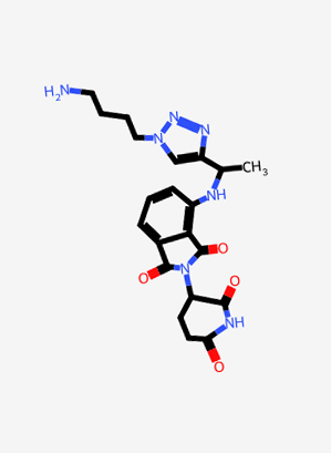 CC(Nc1cccc2c1C(=O)N(C1CCC(=O)NC1=O)C2=O)c1cn(CCCCN)nn1